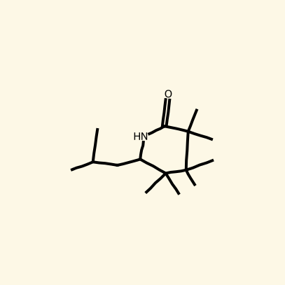 CC(C)CC1NC(=O)C(C)(C)C(C)(C)C1(C)C